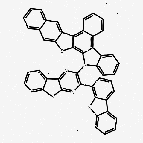 c1ccc2cc3c(cc2c1)sc1c3c2ccccc2c2c3ccccc3n(-c3nc4c(nc3-c3cccc5c3sc3ccccc35)sc3ccccc34)c12